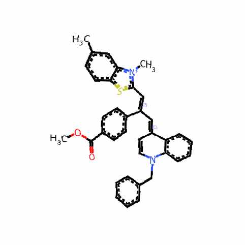 COC(=O)c1ccc(C(=C\c2sc3ccc(C)cc3[n+]2C)/C=C2\C=CN(Cc3ccccc3)c3ccccc32)cc1